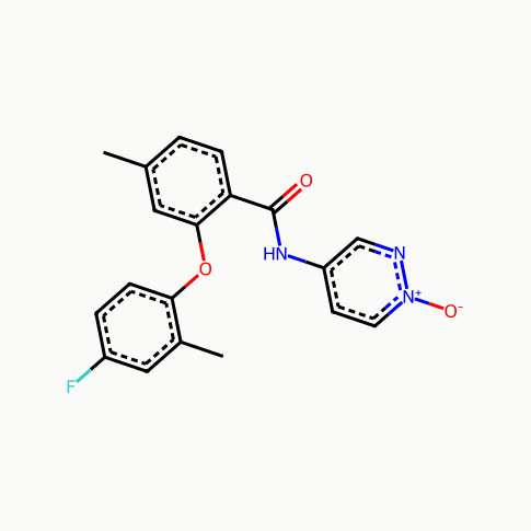 Cc1ccc(C(=O)Nc2cc[n+]([O-])nc2)c(Oc2ccc(F)cc2C)c1